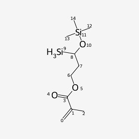 C=C(C)C(=O)OCCC([SiH3])O[Si](C)(C)C